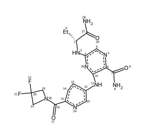 CC[C@@H](Nc1cnc(C(N)=O)c(Nc2ccc(C(=O)N3CC(F)(F)C3)nc2)n1)C(N)=O